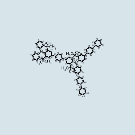 CC1(C)c2ccccc2N2c3ccccc3C(C)(C)c3cc(-c4ccc(-c5cc6c7c(c5)C(C)(C)c5cc(-c8ccc(-c9ccccc9)cc8)ccc5N7c5ccc(-c7ccc(-c8ccccc8)cc7)cc5C6(C)C)cc4)cc1c32